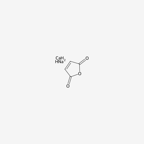 O=C1C=CC(=O)O1.[CaH2].[NaH]